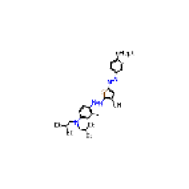 CCCCCCCc1ccc(N=Nc2cc(C#N)c(/N=N/c3ccc(N(CC(CC)CC)CC(CC)CC)cc3C)s2)cc1